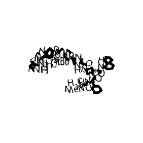 CN[C@@H](C)C(=O)N[C@H](C(=O)N1C[C@@H](NC(=O)c2cnc(N3CCN(CCOc4cc5ncnc(Nc6[nH]ncc6C)c5cc4S(=O)(=O)C(C)(C)C)CC3)cn2)C[C@H]1C(=O)N[C@@H]1CCCc2ccccc21)C1CCCCC1